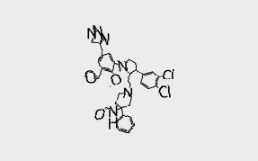 COc1c(C=O)cc(C2C=NN=N2)cc1N1CCC(c2ccc(Cl)c(Cl)c2)C1CCN1CCC(NC=O)(c2ccccc2)CC1